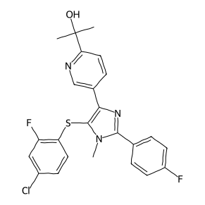 Cn1c(-c2ccc(F)cc2)nc(-c2ccc(C(C)(C)O)nc2)c1Sc1ccc(Cl)cc1F